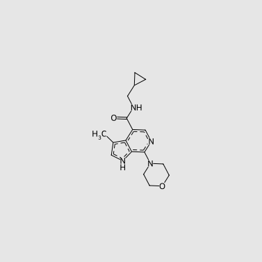 Cc1c[nH]c2c(N3CCOCC3)ncc(C(=O)NCC3CC3)c12